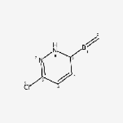 C=BC1C=CC(Cl)=NN1